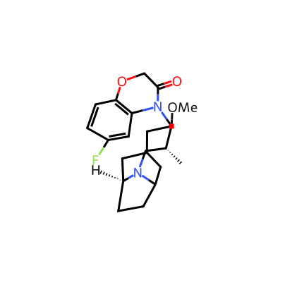 COCCC1CC2CC[C@@H](C1)N2C[C@@H](C)CN1C(=O)COc2ccc(F)cc21